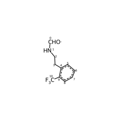 O=[C]NCCc1ccccc1C(F)(F)F